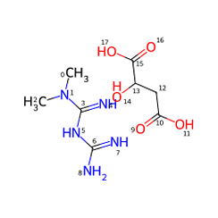 CN(C)C(=N)NC(=N)N.O=C(O)CC(O)C(=O)O